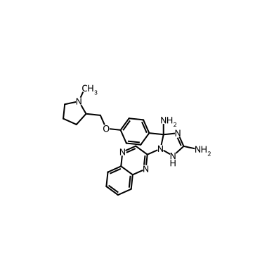 CN1CCCC1COc1ccc(C2(N)N=C(N)NN2c2cnc3ccccc3n2)cc1